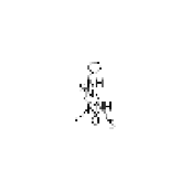 CCCCN1C(=O)C(CCSC)NC12CCN(C(=S)NCC1CCCCC1)CC2